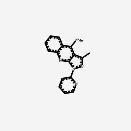 CNc1c2ccccc2nc2c1c(C)nn2-c1ccccn1